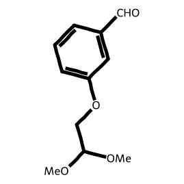 COC(COc1cccc(C=O)c1)OC